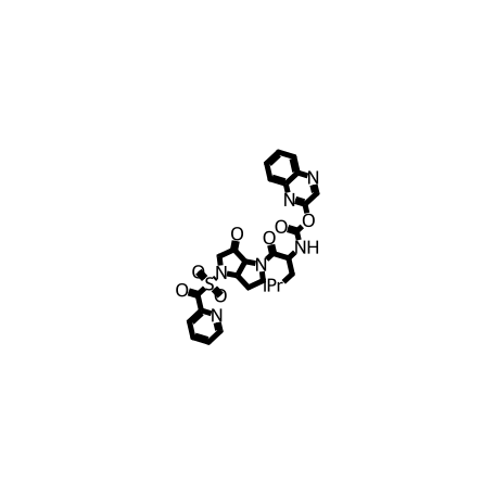 CC(C)CC(NC(=O)Oc1cnc2ccccc2n1)C(=O)N1CCC2C1C(=O)CN2S(=O)(=O)C(=O)c1ccccn1